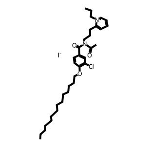 CCCCCCCCCCCCCCOc1ccc(C(=O)N(CCCc2cccc[n+]2CCC)C(C)=O)cc1Cl.[I-]